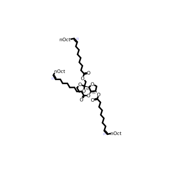 CCCCCCCC/C=C\CCCCCCCC(=O)OCC1([C@H]2OC[C@H](OC(=O)CCCCCCC/C=C\CCCCCCCC)[C@H]2OC(=O)CCCCCCC/C=C\CCCCCCCC)OCCO1